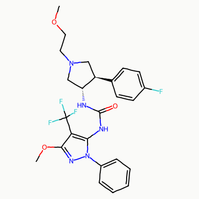 COCCN1C[C@@H](NC(=O)Nc2c(C(F)(F)F)c(OC)nn2-c2ccccc2)[C@H](c2ccc(F)cc2)C1